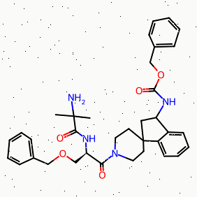 CC(C)(N)C(=O)N[C@H](COCc1ccccc1)C(=O)N1CCC2(CC1)CC(NC(=O)OCc1ccccc1)c1ccccc12